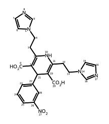 O=C(O)C1=C(CCn2ccnc2)NC(CCn2ccnc2)=C(C(=O)O)C1c1cccc([N+](=O)[O-])c1